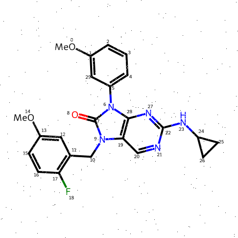 COc1cccc(-n2c(=O)n(Cc3cc(OC)ccc3F)c3cnc(NC4CC4)nc32)c1